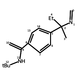 C=NC(C)(CC)c1ccc(C(=C)NC(C)(C)C)cc1